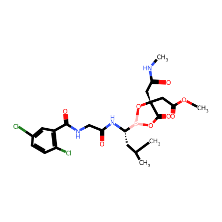 CNC(=O)C[C@]1(CC(=O)OC)OB([C@H](CC(C)C)NC(=O)CNC(=O)c2cc(Cl)ccc2Cl)OC1=O